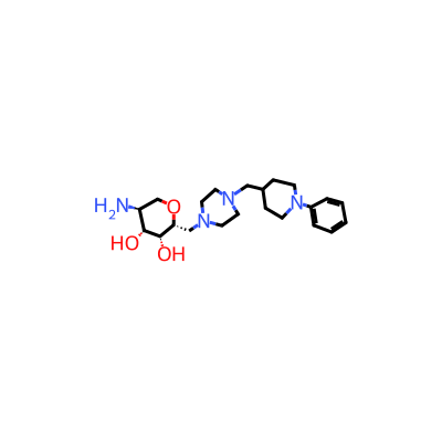 N[C@H]1CO[C@H](CN2CCN(CC3CCN(c4ccccc4)CC3)CC2)[C@H](O)[C@@H]1O